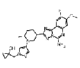 COc1cc2nc(N)n3nc([C@@H]4CC[C@H](C)N(c5cnn(CC6(O)CC6)c5)C4)nc3c2cc1F